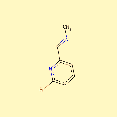 C/N=C/c1cccc(Br)n1